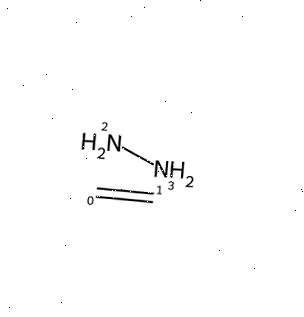 C=C.NN